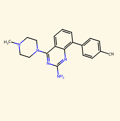 CN1CCN(c2nc(N)nc3c(-c4ccc(C#N)cc4)cccc23)CC1